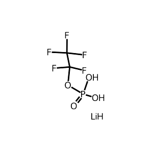 O=P(O)(O)OC(F)(F)C(F)(F)F.[LiH]